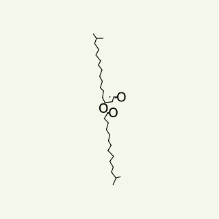 CC(C)CCCCCCCCCCCC(=O)OC(C[C]=O)CCCCCCCCCCCC(C)C